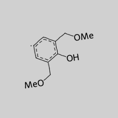 COCc1c[c]cc(COC)c1O